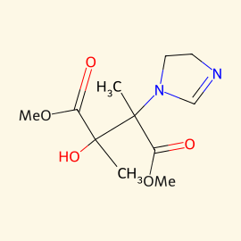 COC(=O)C(C)(O)C(C)(C(=O)OC)N1C=NCC1